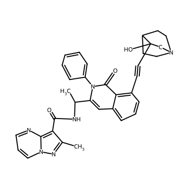 Cc1nn2cccnc2c1C(=O)NC(C)c1cc2cccc(C#CC3(O)CN4CCC3CC4)c2c(=O)n1-c1ccccc1